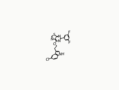 Fc1cc(F)cc(-c2nc(OCCc3c[nH]c4ccc(Cl)cc34)c3ncsc3n2)c1